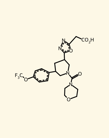 O=C(O)Cc1nnc(C2CC(c3ccc(OC(F)(F)F)cc3)CN(C(=O)N3CCOCC3)C2)o1